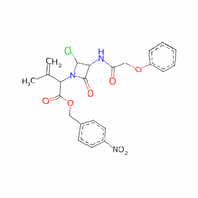 C=C(C)C(C(=O)OCc1ccc([N+](=O)[O-])cc1)N1C(=O)C(NC(=O)COc2ccccc2)C1Cl